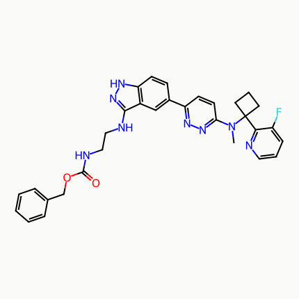 CN(c1ccc(-c2ccc3[nH]nc(NCCNC(=O)OCc4ccccc4)c3c2)nn1)C1(c2ncccc2F)CCC1